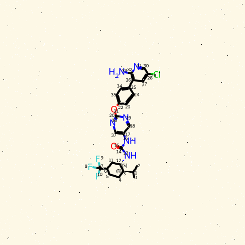 CC(C)[C@H]1CCC(C(F)(F)F)C[C@@H]1NC(=O)Nc1cnc(Oc2ccc(-c3cc(Cl)cnc3N)cc2)nc1